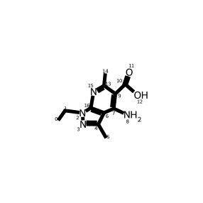 CCn1nc(C)c2c(N)c(C(=O)O)c(C)nc21